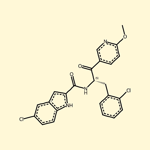 COc1ccc(C(=O)[C@H](Cc2ccccc2Cl)NC(=O)c2cc3cc(Cl)ccc3[nH]2)cn1